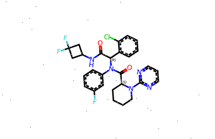 O=C(NC1CC(F)(F)C1)[C@@H](c1ccccc1Cl)N(C(=O)[C@@H]1CCCCN1c1ncccn1)c1cccc(F)c1